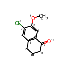 COc1cc2c(cc1Cl)CCCC2=O